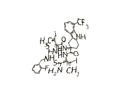 C[C@@H](I)[C@H](NC(=S)NCc1ccccc1F)C(=O)N[C@]1(C(=O)N[C@H](C(N)=S)[C@@H](C)I)CCc2[nH]c3c(C(F)(F)F)cccc3c2C1